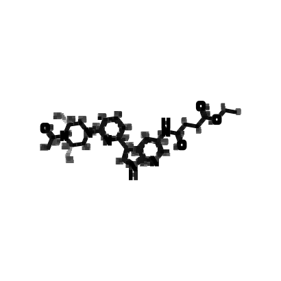 CCOC(=O)CCC(=O)Nc1cnc2[nH]cc(-c3cccc(N4C[C@@H](C)N(C(C)=O)[C@@H](C)C4)n3)c2c1